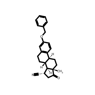 C[C@]12CC[C@@H]3c4ccc(OCc5ccccc5)cc4CC[C@H]3[C@@H]1[C@@H](C#N)CC2=O